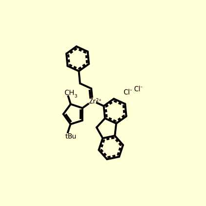 CC1C=C(C(C)(C)C)C=[C]1[Zr+2](=[CH]Cc1ccccc1)[c]1cccc2c1Cc1ccccc1-2.[Cl-].[Cl-]